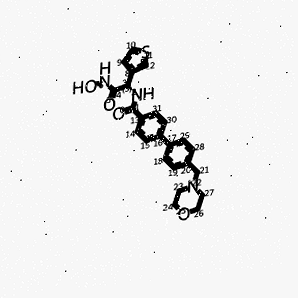 O=C(N[C@H](C(=O)NO)c1ccsc1)c1ccc(-c2ccc(CN3CCOCC3)cc2)cc1